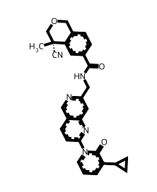 C[C@@]1(C#N)COCc2ccc(C(=O)NCc3cc4nc(-n5cccc(C6CC6)c5=O)ccc4cn3)cc21